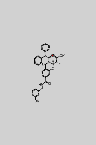 C[C@H](NN(C(=O)c1ccc(C(=O)NCc2cccc(O)c2)cc1Cl)C(=O)C(c1ccccc1)c1ccccc1)C(=O)O